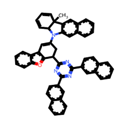 CC12C=CC=CC1N(C1=Cc3c(oc4ccccc34)C(c3nc(-c4ccc5ccccc5c4)nc(-c4ccc5ccccc5c4)n3)C1)c1cc3ccccc3cc12